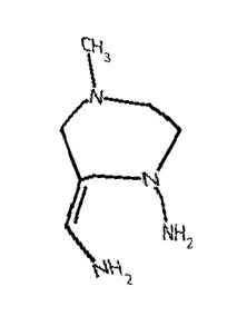 CN1CCN(N)/C(=C\N)C1